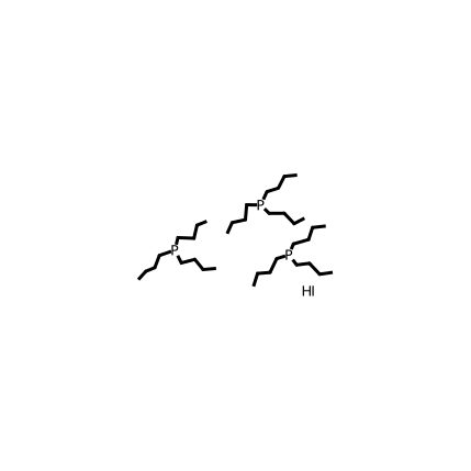 CCCCP(CCCC)CCCC.CCCCP(CCCC)CCCC.CCCCP(CCCC)CCCC.I